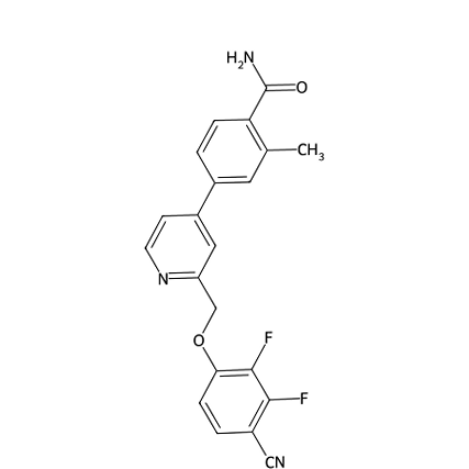 Cc1cc(-c2ccnc(COc3ccc(C#N)c(F)c3F)c2)ccc1C(N)=O